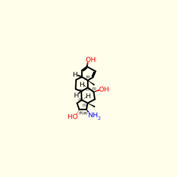 C[C@]12C=CC(O)=C[C@H]1CC[C@@H]1[C@@H]2[C@@H](O)C[C@]2(C)[C@@H](N)[C@H](O)C[C@@H]12